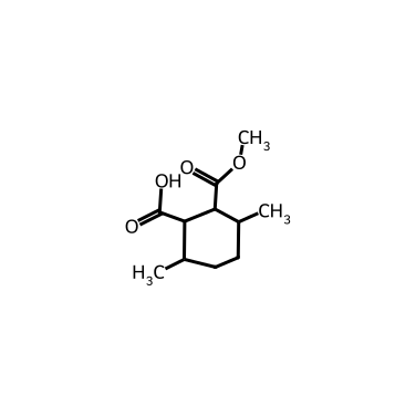 COC(=O)C1C(C)CCC(C)C1C(=O)O